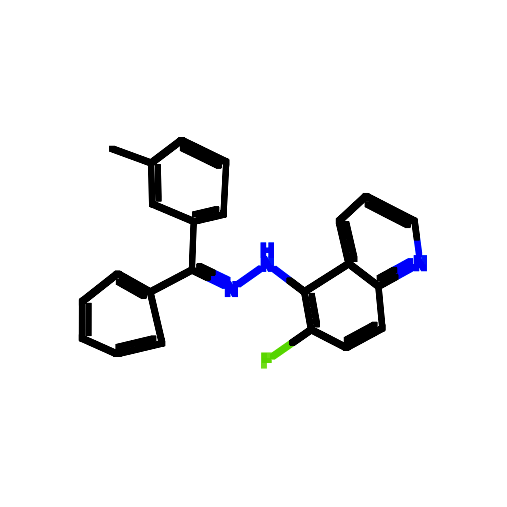 Cc1cccc(/C(=N\Nc2c(F)ccc3ncccc23)c2ccccc2)c1